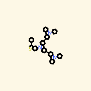 c1ccc(-c2csc3ccc(-n4c5ccc(-c6ccc7c(c6)c6ccccc6n7-c6ccccc6)cc5c5cc(-c6ccc7c(c6)c6ccccc6n7-c6ccccc6)ccc54)cc23)cc1